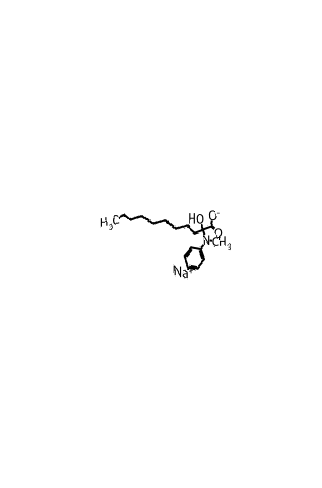 CCCCCCCCCC(O)(C(=O)[O-])N(C)c1ccccc1.[Na+]